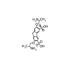 CC(N)COc1cc2c(cc1S(=O)(=O)O)-c1cc(S(=O)(=O)O)c(OCC(C)N)cc1C2